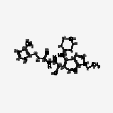 CCn1ncc2c(NC3CCOCC3)c(C(=O)NNC(=O)CCc3scnc3C)cnc21